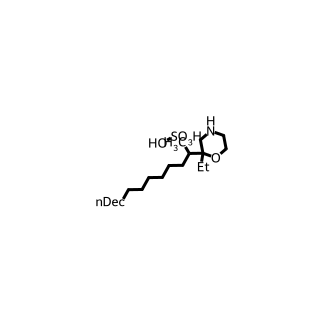 CCCCCCCCCCCCCCCCC(C)C1(CC)CNCCO1.O=S(=O)(O)O